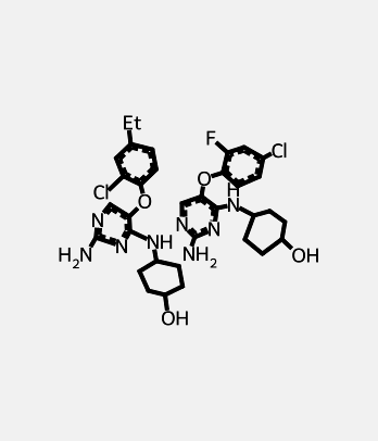 CCc1ccc(Oc2cnc(N)nc2NC2CCC(O)CC2)c(Cl)c1.Nc1ncc(Oc2ccc(Cl)cc2F)c(NC2CCC(O)CC2)n1